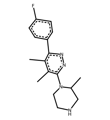 Cc1c(-c2ccc(F)cc2)nnc(N2CCNCC2C)c1C